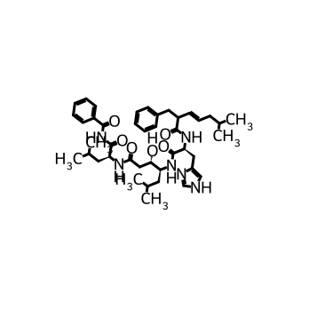 CC(C)CC=CC(Cc1ccccc1)C(=O)N[C@@H](Cc1c[nH]cn1)C(=O)N[C@@H](CC(C)C)[C@@H](O)CC(=O)N[C@@H](CC(C)C)C(=O)NC(=O)c1ccccc1